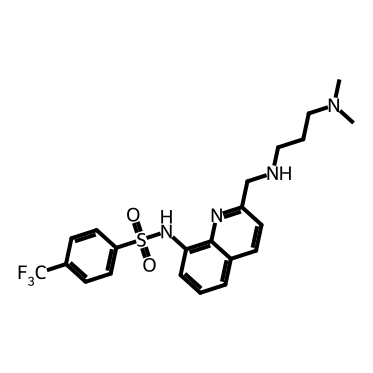 CN(C)CCCNCc1ccc2cccc(NS(=O)(=O)c3ccc(C(F)(F)F)cc3)c2n1